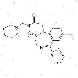 O=C1CN2C(=NN1CN1CCCCC1)CN=C(c1ccccn1)c1cc(Br)ccc12